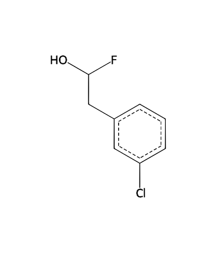 OC(F)Cc1cccc(Cl)c1